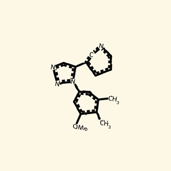 COc1cc(-n2nncc2-c2cccnc2)cc(C)c1C